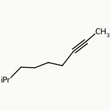 [CH2]C(C)CCCCC#CC